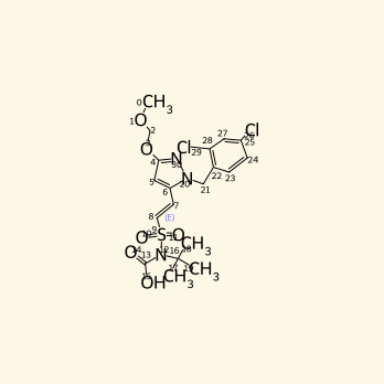 COCOc1cc(/C=C/S(=O)(=O)N(C(=O)O)C(C)(C)C)n(Cc2ccc(Cl)cc2Cl)n1